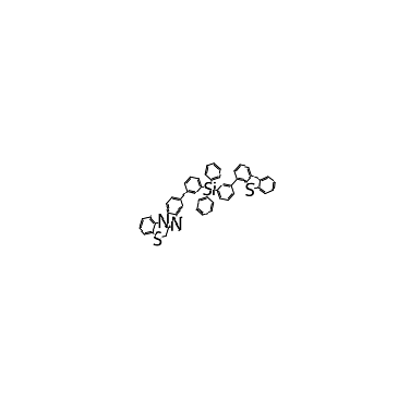 c1ccc([Si](c2ccccc2)(c2cccc(-c3ccc4c(c3)nc3n4-c4ccccc4SC3)c2)c2cccc(-c3cccc4c3sc3ccccc34)c2)cc1